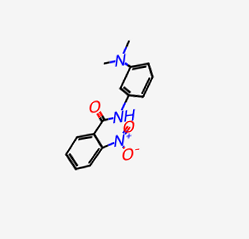 CN(C)c1cccc(NC(=O)c2ccccc2[N+](=O)[O-])c1